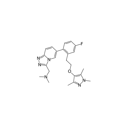 Cc1nn(C)c(C)c1OCCc1cc(F)ccc1-c1ccc2nnc(CN(C)C)n2c1